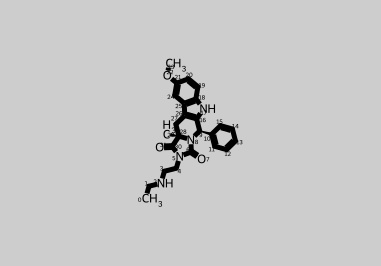 CCNCCN1C(=O)N2[C@H](c3ccccc3)c3[nH]c4ccc(OC)cc4c3C[C@@]2(C)C1=O